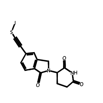 O=C1CCC(N2Cc3cc(C#CSI)ccc3C2=O)C(=O)N1